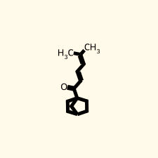 CC(C)=CC=CC(=O)C12CCC(CC1)C2